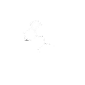 CCC(C)Sc1ncnc2[nH]cnc12